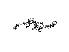 CC(COC(=O)NCCCCCCN=C=O)OCC(C)OCC(C)OC(=O)NCCCCCCN=C=O